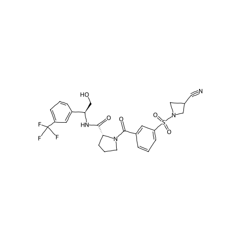 N#CC1CN(S(=O)(=O)c2cccc(C(=O)N3CCC[C@@H]3C(=O)N[C@H](CO)c3cccc(C(F)(F)F)c3)c2)C1